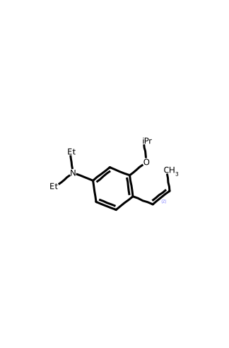 C/C=C\c1ccc(N(CC)CC)cc1OC(C)C